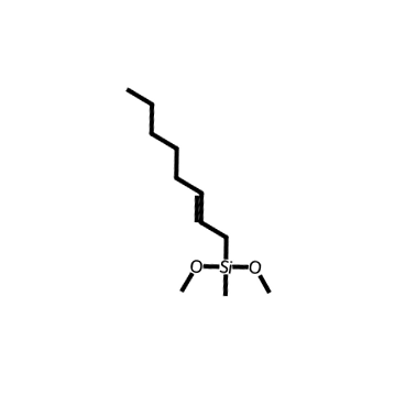 CCCCCC=CC[Si](C)(OC)OC